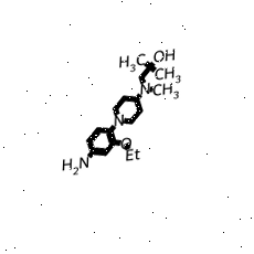 CCOc1cc(N)ccc1N1CCC(N(C)CC(C)(C)O)CC1